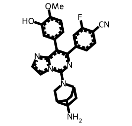 COc1ccc(-c2c(-c3ccc(C#N)c(F)c3)nc(N3CC4CCC3CC4N)n3ccnc23)cc1O